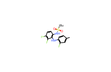 Cc1ccc(Nc2c(NS(=O)(=O)C(C)(C)C)ccc(F)c2F)c(F)c1